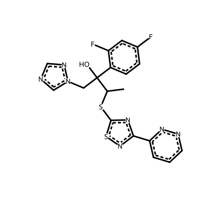 CC(Sc1nc(-c2cccnn2)ns1)C(O)(Cn1cncn1)c1ccc(F)cc1F